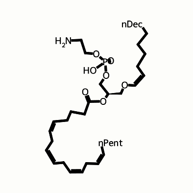 CCCCC/C=C\C/C=C\C/C=C\C/C=C\CCCC(=O)O[C@H](CO/C=C\CCCCCCCCCCCCCC)COP(=O)(O)OCCN